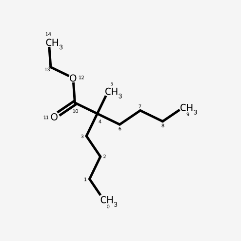 CCCCC(C)(CCCC)C(=O)OCC